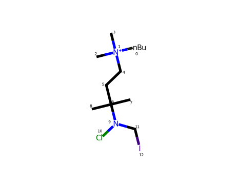 CCCC[N+](C)(C)CCC(C)(C)N(Cl)CI